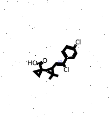 CC1(C)C(/C=C(\Cl)c2ccc(Cl)cc2)C1C1(C(=O)O)CC1